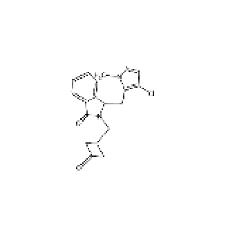 Cn1ncc(Cl)c1CC1c2ccccc2C(=O)N1CC1CC(=O)C1